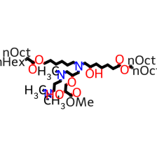 CCCCCCCCC(CCCCCCCC)OC(=O)CCCCC(O)CN(CCCCCCOC(=O)C(CCCCCC)CCCCCCCC)CC(CN(C)CCCN(C)C)OCC(O)C(=O)OC